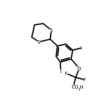 O=C(O)C(F)(F)Oc1c(I)cc(C2SCCCS2)cc1I